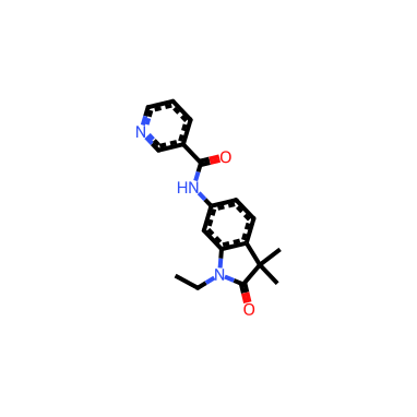 CCN1C(=O)C(C)(C)c2ccc(NC(=O)c3cccnc3)cc21